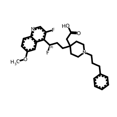 COc1ccc2ncc(F)c([C@H](F)CCC3(CC(=O)O)CCN(CCCc4ccccc4)CC3)c2c1